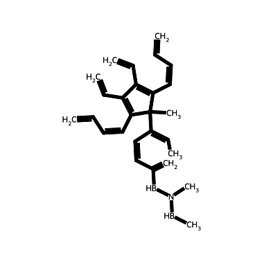 C=C/C=C\C1=C(C=C)C(C=C)=C(/C=C\C=C)C1(C)C(/C=C\C(=C)BN(C)BC)=C/C